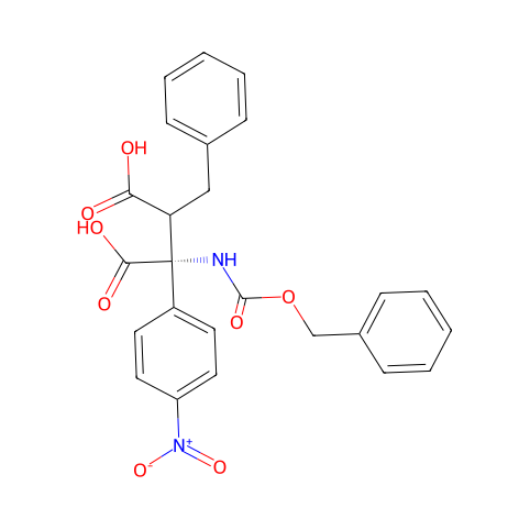 O=C(N[C@@](C(=O)O)(c1ccc([N+](=O)[O-])cc1)C(Cc1ccccc1)C(=O)O)OCc1ccccc1